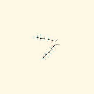 CCC(F)(OC(F)(CC)C(F)(F)C(F)(F)C(F)(F)C(F)(F)F)C(F)(F)C(F)(F)C(F)(F)C(F)(F)F